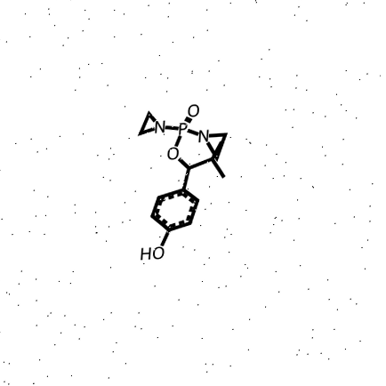 CC(C)C(OP(=O)(N1CC1)N1CC1)c1ccc(O)cc1